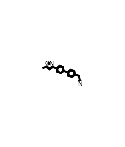 Cc1cc(-c2ccc(-c3ccc(CC#N)cc3)cc2)no1